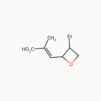 CCC1COC1C=C(C)C(=O)O